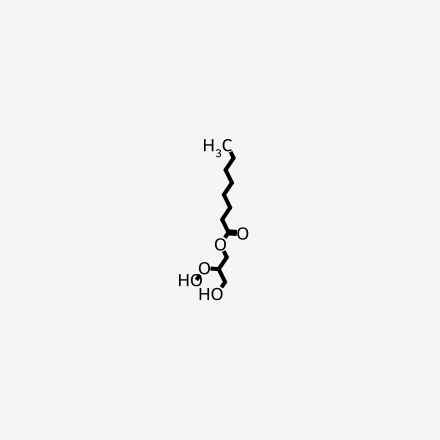 CCCCCCCC(=O)OCC(CO)OO